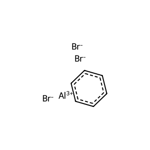 [Al+3].[Br-].[Br-].[Br-].c1ccccc1